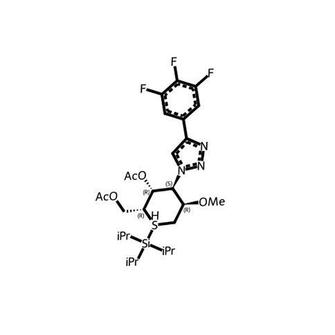 CO[C@H]1C[SH]([Si](C(C)C)(C(C)C)C(C)C)[C@H](COC(C)=O)[C@H](OC(C)=O)[C@H]1n1cc(-c2cc(F)c(F)c(F)c2)nn1